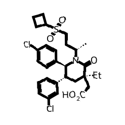 CC[C@]1(CC(=O)O)C[C@H](c2cccc(Cl)c2)[C@@H](c2ccc(Cl)cc2)N([C@@H](C)CCS(=O)(=O)C2CCC2)C1=O